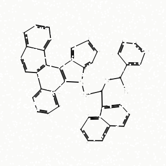 NC(NC(Nn1c2ccccc2c2c3c4ccccc4ccc3c3ccccc3c21)c1cccc2ccccc12)c1ccccc1